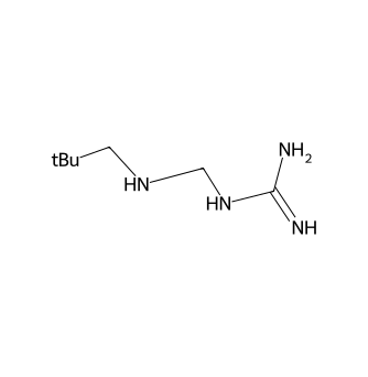 CC(C)(C)CNCNC(=N)N